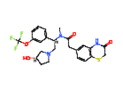 CN(C(=O)Cc1ccc2c(c1)NC(=O)CS2)[C@H](CN1CC[C@H](O)C1)c1cccc(OC(F)(F)F)c1